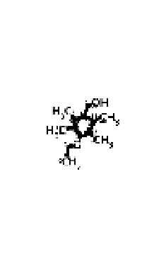 CCOc1c(C)c(C)c(CO)c(C)c1C